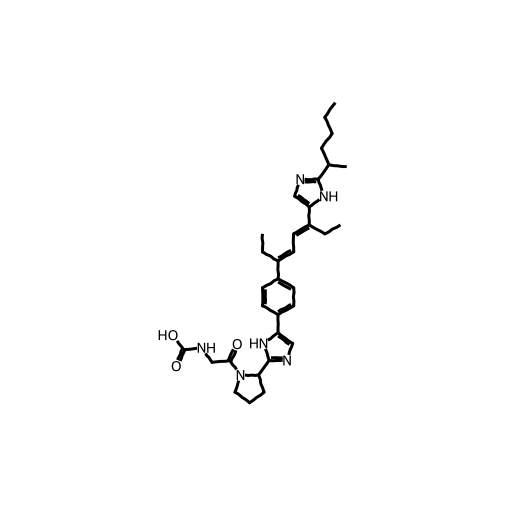 CCCCC(C)c1ncc(/C(=C/C=C(\CC)c2ccc(-c3cnc(C4CCCN4C(=O)CNC(=O)O)[nH]3)cc2)CC)[nH]1